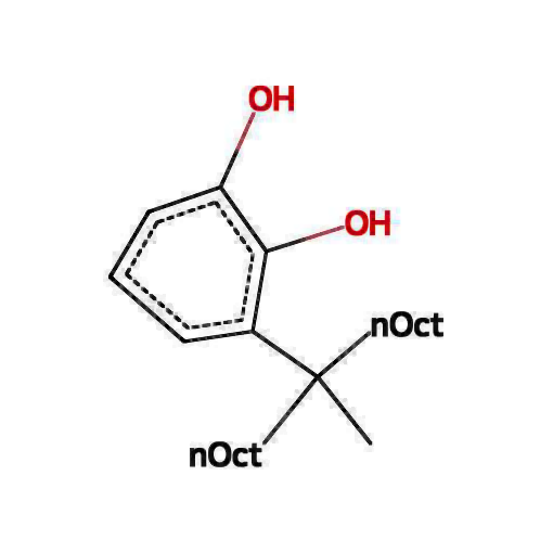 CCCCCCCCC(C)(CCCCCCCC)c1cccc(O)c1O